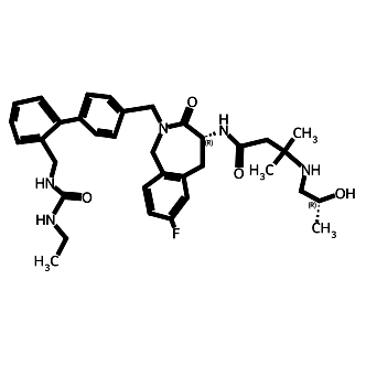 CCNC(=O)NCc1ccccc1-c1ccc(CN2Cc3ccc(F)cc3C[C@@H](NC(=O)CC(C)(C)NC[C@@H](C)O)C2=O)cc1